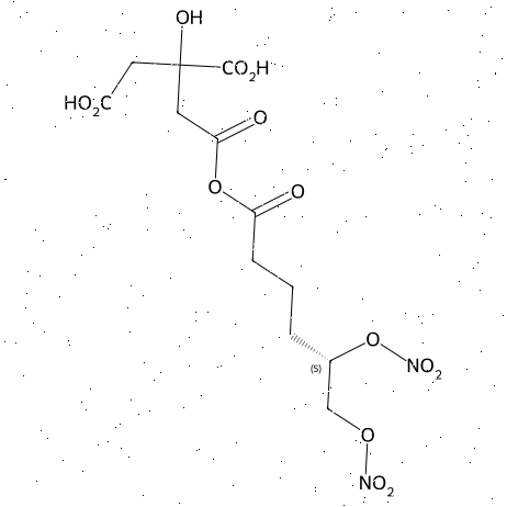 O=C(O)CC(O)(CC(=O)OC(=O)CCC[C@@H](CO[N+](=O)[O-])O[N+](=O)[O-])C(=O)O